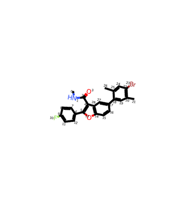 CNC(=O)c1c(-c2ccc(F)cc2)oc2ccc(-c3cc(C)c(Br)cc3C)cc12